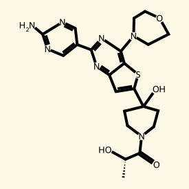 C[C@H](O)C(=O)N1CCC(O)(c2cc3nc(-c4cnc(N)nc4)nc(N4CCOCC4)c3s2)CC1